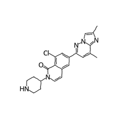 Cc1cn2nc(-c3cc(Cl)c4c(=O)n(C5CCNCC5)ccc4c3)cc(C)c2n1